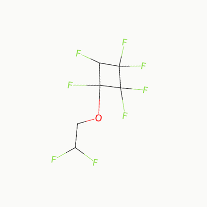 FC(F)COC1(F)C(F)C(F)(F)C1(F)F